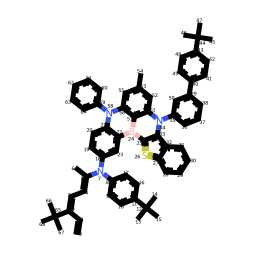 C=C/C(=C\C=C(/C)N(c1ccc(C(C)(C)C)cc1)c1ccc2c(c1)B1c3sc4ccccc4c3N(c3cccc(-c4ccc(C(C)(C)C)cc4)c3)c3cc(C)cc(c31)N2c1ccccc1)C(C)(C)C